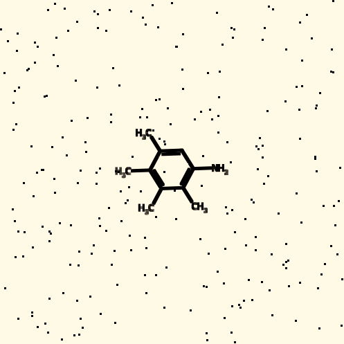 Cc1cc(N)c(C)c(C)c1C